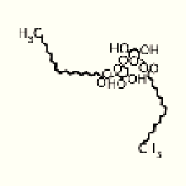 CCCCCCCC/C=C\CCCCCCCC(=O)OC[C@H]1O[C@H](O[C@H]2O[C@H](COC(=O)CCCCCCC/C=C\CCCCCCCC)[C@@H](O)C[C@H]2O)C[C@@H](O)[C@@H]1O